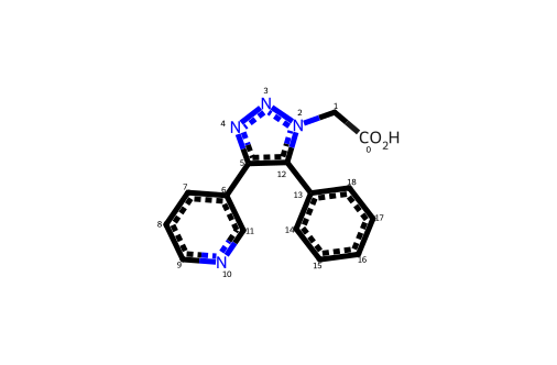 O=C(O)Cn1nnc(-c2cccnc2)c1-c1ccccc1